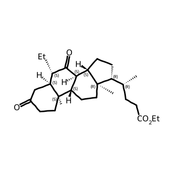 CCOC(=O)CC[C@@H](C)[C@H]1CC[C@H]2[C@@H]3C(=O)[C@@H](CC)[C@@H]4CC(=O)CC[C@]4(C)[C@H]3CC[C@]12C